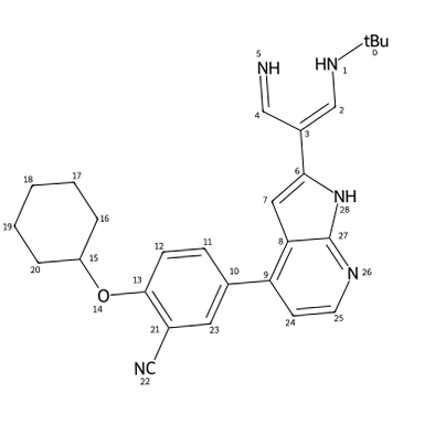 CC(C)(C)N/C=C(\C=N)c1cc2c(-c3ccc(OC4CCCCC4)c(C#N)c3)ccnc2[nH]1